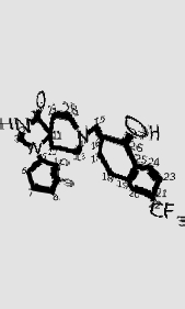 O=C1NCN(c2ccccc2)C12CCN(CC1CCc3cc(C(F)(F)F)ccc3C1O)CC2